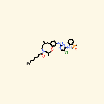 C=C1CCN(C(=O)/C=C/CCCC(C)C)/C=C(\C)COc2cc(Nc3ncc(Cl)c(Nc4ccccc4P(C)(C)=O)n3)ccc2C1